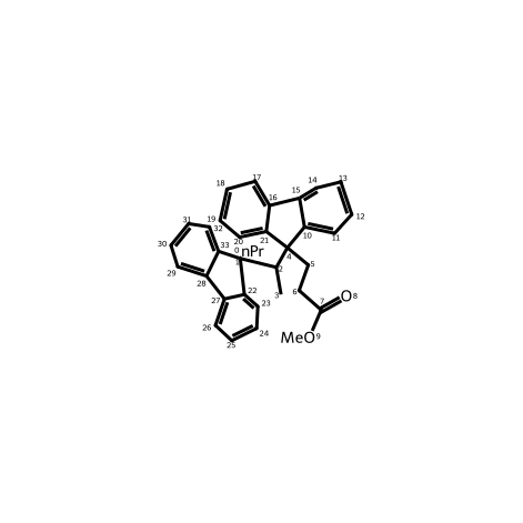 CCCC1(C(C)C2(CCC(=O)OC)c3ccccc3-c3ccccc32)c2ccccc2-c2ccccc21